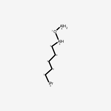 CC(C)CCCC[CH2][AlH][O][AlH2]